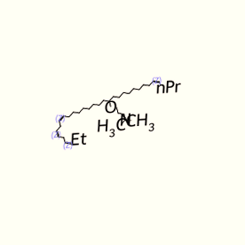 CC/C=C\C/C=C\C/C=C\CCCCCCCCC(CCCCCCCC/C=C\CCC)OCCCN(C)C